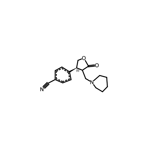 N#Cc1ccc([C@H]2COC(=O)C2CN2CCCCC2)cc1